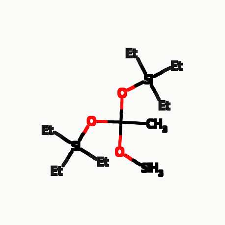 CC[Si](CC)(CC)OC(C)(O[SiH3])O[Si](CC)(CC)CC